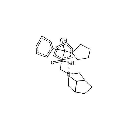 O=C(NCC1C2CCC1CN(Cc1ccccc1)C2)C(O)(c1ccccc1)C1CCCC1